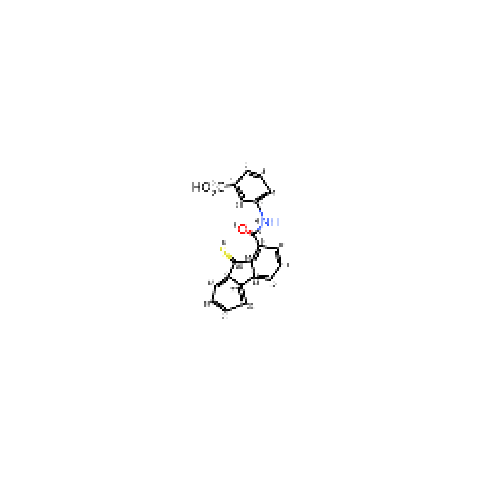 O=C(O)c1cccc(NC(=O)c2cccc3c2C(=S)c2ccccc2-3)c1